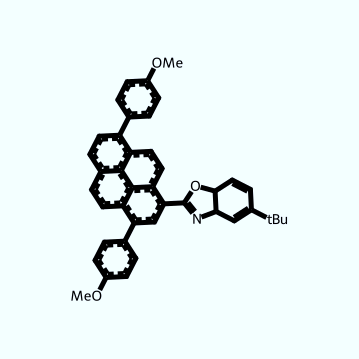 COc1ccc(-c2ccc3ccc4c(-c5ccc(OC)cc5)cc(C5=NC6C=C(C(C)(C)C)C=CC6O5)c5ccc2c3c54)cc1